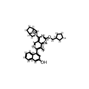 Oc1cc(-c2ncc3c(N4CC5CCC(C4)N5)nc(OCC4CCCC4)nc3c2F)c2ccccc2c1